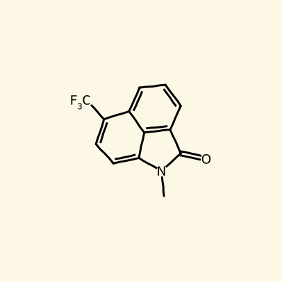 CN1C(=O)c2cccc3c(C(F)(F)F)ccc1c23